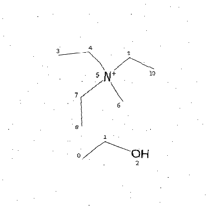 CCO.CC[N+](C)(CC)CC